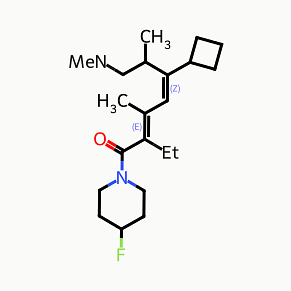 CC/C(C(=O)N1CCC(F)CC1)=C(C)\C=C(/C(C)CNC)C1CCC1